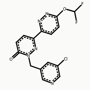 O=c1ccc(-c2ccc(OC(F)F)nn2)nn1Cc1cncc(Cl)c1